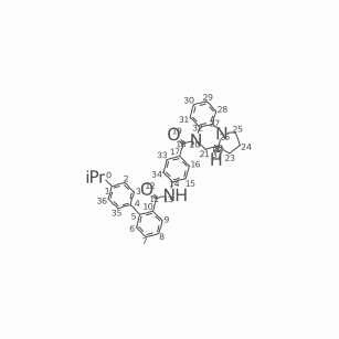 CC(C)c1ccc(-c2ccccc2C(=O)Nc2ccc(C(=O)N3C[C@H]4CCCN4c4ccccc43)cc2)cc1